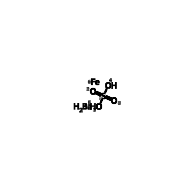 O=S(=O)(O)O.[BaH2].[Fe]